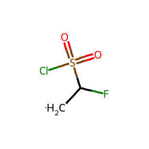 [CH2]C(F)S(=O)(=O)Cl